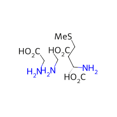 CSCC[C@H](N)C(=O)O.NCC(=O)O.NCC(=O)O